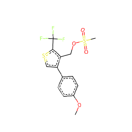 COc1ccc(-c2csc(C(F)(F)F)c2COS(C)(=O)=O)cc1